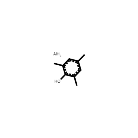 Cc1cc(C)c(O)c(C)c1.[AlH3]